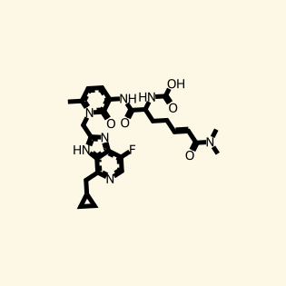 Cc1ccc(NC(=O)C(CCC=CC(=O)N(C)C)NC(=O)O)c(=O)n1Cc1nc2c(F)cnc(CC3CC3)c2[nH]1